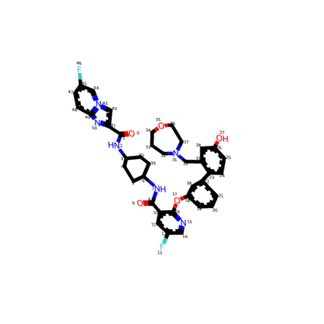 O=C(NC1CCC(NC(=O)c2cc(F)cnc2Oc2cccc(-c3ccc(O)cc3CN3CCCOCC3)c2)CC1)c1cn2cc(F)ccc2n1